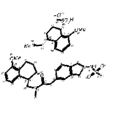 CCS(=O)(=O)NN1Cc2ccc(CC(=O)N(C)C[C@@H]3CCCc4c(OC)cccc43)cc2C1.CNC[C@@H]1CCCc2c(OC)cccc21.CS(=O)(=O)O.Cl